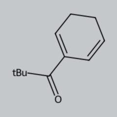 CC(C)(C)C(=O)C1=CCCC=C1